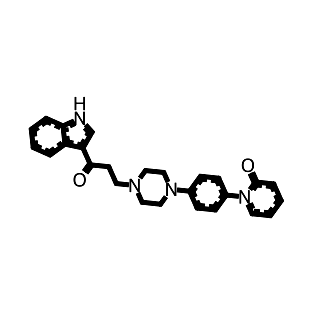 O=C(CCN1CCN(c2ccc(-n3ccccc3=O)cc2)CC1)c1c[nH]c2ccccc12